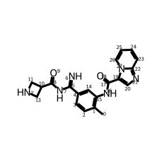 Cc1ccc(C(=N)NC(=O)C2CNC2)cc1NC(=O)c1cnc2ccccn12